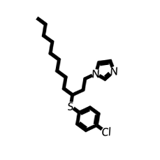 CCCCCCCCCC(CCn1ccnc1)Sc1ccc(Cl)cc1